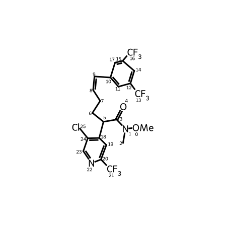 CON(C)C(=O)C(CC/C=C\c1cc(C(F)(F)F)cc(C(F)(F)F)c1)c1cc(C(F)(F)F)ncc1Cl